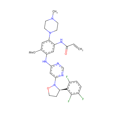 C=CC(=O)Nc1cc(Nc2cc(N3OCC[C@@H]3c3c(F)ccc(F)c3F)ncn2)c(OC)cc1N1CCN(C)CC1